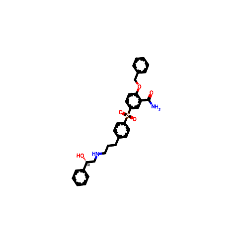 NC(=O)c1cc(S(=O)(=O)c2ccc(CCCNC[C@@H](O)c3ccccc3)cc2)ccc1OCc1ccccc1